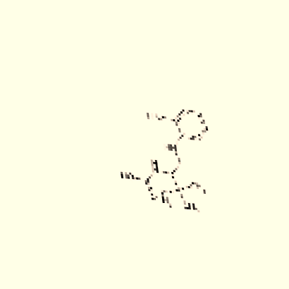 Cc1ccccc1NCC(NC(=O)O)C(C)(C)C